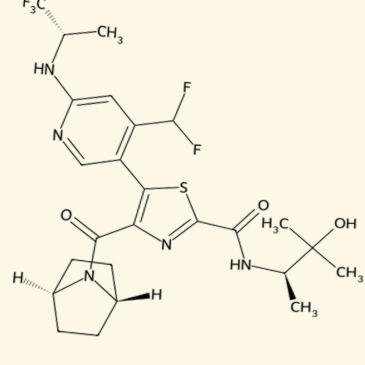 C[C@H](Nc1cc(C(F)F)c(-c2sc(C(=O)N[C@H](C)C(C)(C)O)nc2C(=O)N2[C@H]3CC[C@H]2CC3)cn1)C(F)(F)F